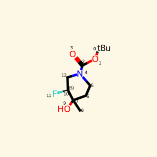 CC(C)(C)OC(=O)N1CCC(C)(O)[C@@H](F)C1